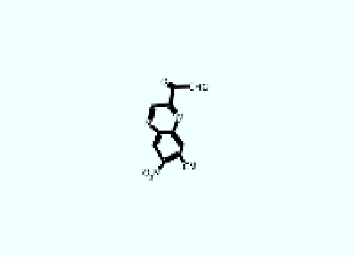 N#Cc1cc2nc(C(=O)C=O)cnc2cc1[N+](=O)[O-]